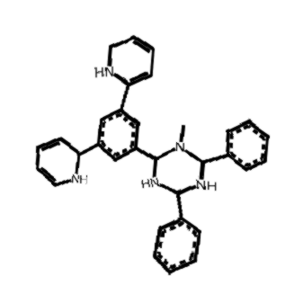 CN1C(c2ccccc2)NC(c2ccccc2)NC1c1cc(C2=CC=CCN2)cc(C2C=CC=CN2)c1